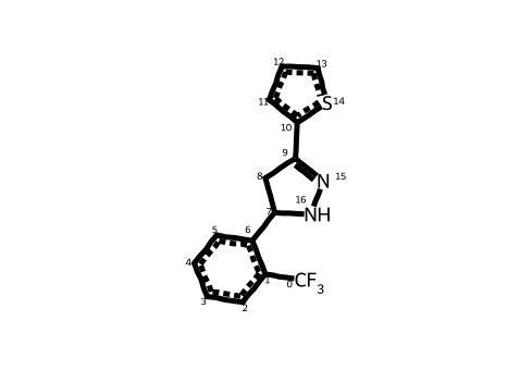 FC(F)(F)c1ccccc1C1CC(c2cccs2)=NN1